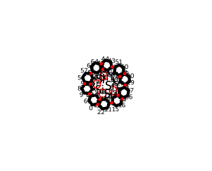 c1ccc([Si]2(c3ccccc3)O[Si](c3ccccc3)(c3ccccc3)[O][Sn]([c]3ccccc3)([c]3ccccc3)[CH2][Sn]([c]3ccccc3)([c]3ccccc3)[O][Si](c3ccccc3)(c3ccccc3)O2)cc1